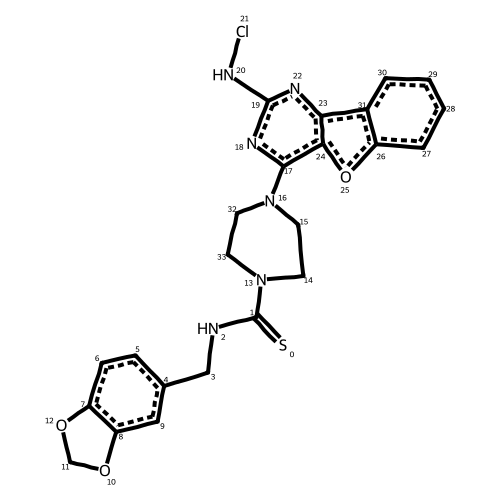 S=C(NCc1ccc2c(c1)OCO2)N1CCN(c2nc(NCl)nc3c2oc2ccccc23)CC1